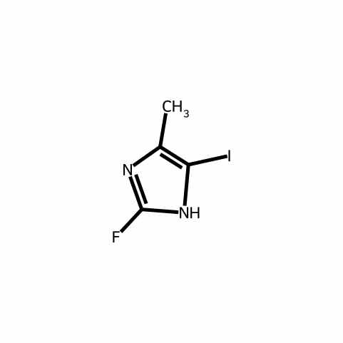 Cc1nc(F)[nH]c1I